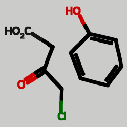 O=C(O)CC(=O)CCl.Oc1ccccc1